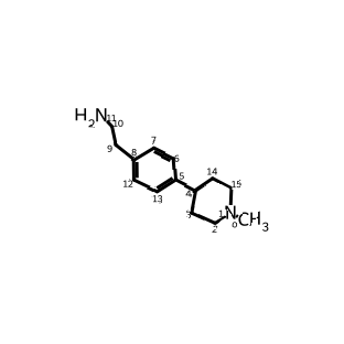 CN1CCC(c2ccc(CCN)cc2)CC1